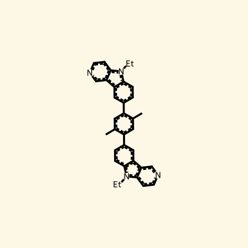 CCn1c2ccncc2c2cc(-c3cc(C)c(-c4ccc5c(c4)c4cnccc4n5CC)cc3C)ccc21